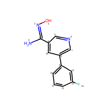 N/C(=N/O)c1cncc(-c2cccc(F)c2)c1